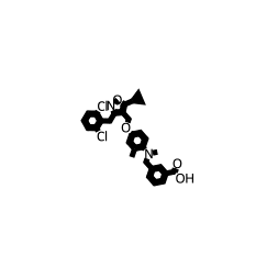 Cc1cc(OCc2c(Cc3c(Cl)cccc3Cl)noc2C2CC2)ccc1N(C)Cc1cccc(C(=O)O)c1